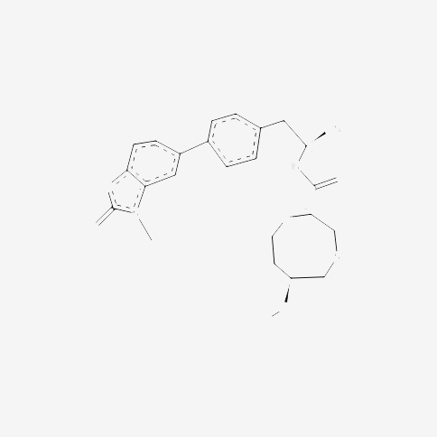 CCO[C@H]1CCO[C@H](C(=O)N[C@H](C#N)Cc2ccc(-c3ccc4oc(=O)n(C)c4c3)cc2)CNC1